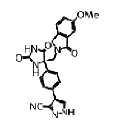 COc1ccc2c(c1)C(=O)N(C[C@@]1(c3ccc(-c4c[nH]nc4C#N)cc3)NC(=O)NC1=O)C2